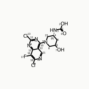 O=C(O)N[C@@H]1CC(O)CN(c2nc(Cl)nc3c(F)c(Cl)ncc23)C1